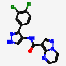 O=C(Nc1c[nH]nc1-c1ccc(Cl)c(Cl)c1)c1cnn2cccnc12